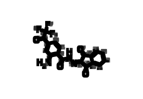 Nc1cc(C(=O)C(F)(F)F)ccc1C(=O)NN=c1c(=O)c2ccccc2c1=O